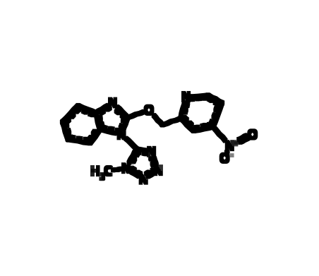 Cn1nnnc1-n1c(OCc2cc([N+](=O)[O-])ccn2)nc2ccccc21